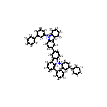 c1ccc(-c2ccc(-n3c4ccc(-c5ccc6c(c5)c5ccccc5n6-c5cccc(-c6ccccc6)c5)cc4c4cccc(-c5ccccc5)c43)cc2)cc1